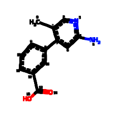 Cc1cnc(N)cc1-c1cccc(C(=O)O)c1